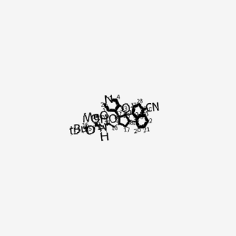 COc1cncc2c1[C@]1(O)[C@@H](CCNC(=O)OC(C)(C)C)C[C@@H](c3ccccc3)[C@]1(c1ccc(C#N)cc1)O2